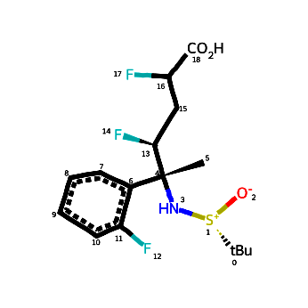 CC(C)(C)[S@@+]([O-])N[C@](C)(c1ccccc1F)[C@@H](F)CC(F)C(=O)O